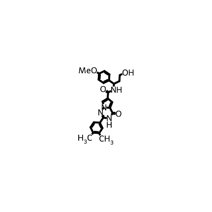 COc1ccc(C(CCO)NC(=O)c2cc3c(=O)[nH]c(-c4ccc(C)c(C)c4)nn3c2)cc1